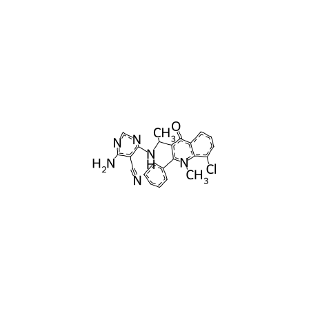 CC(Nc1ncnc(N)c1C#N)c1c(-c2ccccc2)n(C)c2c(Cl)cccc2c1=O